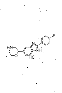 Cl.Fc1ccc(-c2nc3cc(C4CNCCO4)ccc3[nH]2)cc1